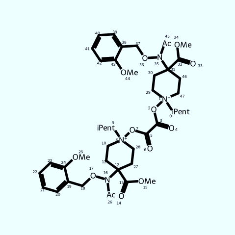 CCCC(C)[N+]1(OC(=O)C(=O)O[N+]2(C(C)CCC)CCC(C(=O)OC)(N(OCc3ccccc3OC)C(C)=O)CC2)CCC(C(=O)OC)(N(OCc2ccccc2OC)C(C)=O)CC1